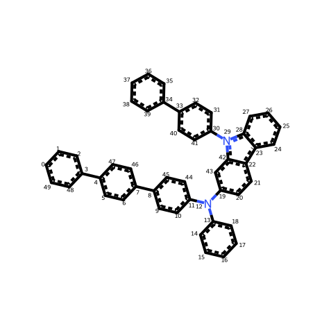 c1ccc(-c2ccc(-c3ccc(N(c4ccccc4)c4ccc5c6ccccc6n(-c6ccc(-c7ccccc7)cc6)c5c4)cc3)cc2)cc1